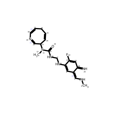 CN/C=C1/C=C(NCNC(=O)N(C)C2C=CC/C=C\N=C/2)C(F)=CC1=N